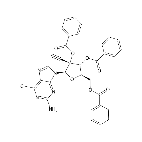 C#C[C@@]1(OC(=O)c2ccccc2)[C@H](OC(=O)c2ccccc2)[C@@H](COC(=O)c2ccccc2)O[C@H]1n1cnc2c(Cl)nc(N)nc21